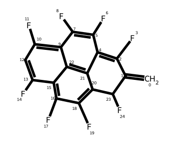 C=C1C(F)=c2c(F)c(F)c3c(F)cc(F)c4c(F)c(F)c(c2c43)C1F